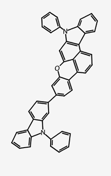 c1ccc(-n2c3ccccc3c3ccc(-c4ccc5c(c4)Oc4cc6c(c7cccc-5c47)c4ccccc4n6-c4ccccc4)cc32)cc1